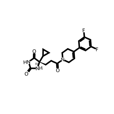 O=C1NC(=O)[C@](CCC(=O)N2CC=C(c3cc(F)cc(F)c3)CC2)(C2CC2)N1